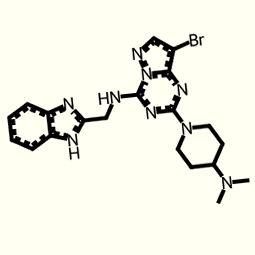 CN(C)C1CCN(c2nc(NCc3nc4ccccc4[nH]3)n3ncc(Br)c3n2)CC1